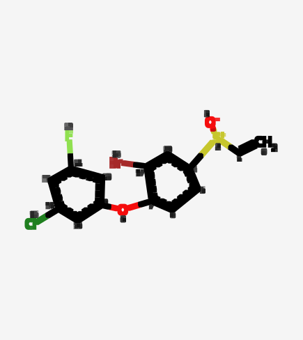 C=C[S+]([O-])c1ccc(Oc2cc(F)cc(Cl)c2)c(Br)c1